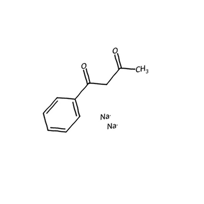 CC(=O)CC(=O)c1ccccc1.[Na].[Na]